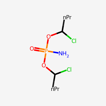 CCCC(Cl)OP(N)(=O)OC(Cl)CCC